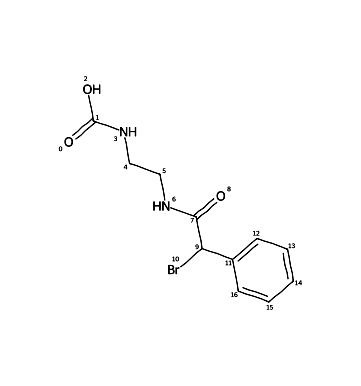 O=C(O)NCCNC(=O)C(Br)c1ccccc1